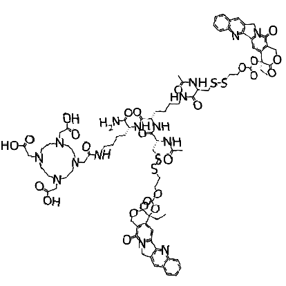 CC[C@]1(OC(=O)OCCSSC[C@@H](NC(C)=O)C(=O)N[C@@H](CCCCNC(=O)C(CSSCCOC(=O)O[C@]2(CC)C(=O)OCc3c2cc2n(c3=O)Cc3cc4ccccc4nc3-2)NC(C)=O)C(=O)N[C@H](CCCCNC(=O)CN2CCN(CC(=O)O)CCN(CC(=O)O)CCN(CC(=O)O)CC2)C(N)=O)C(=O)OCc2c1cc1n(c2=O)Cc2cc3ccccc3nc2-1